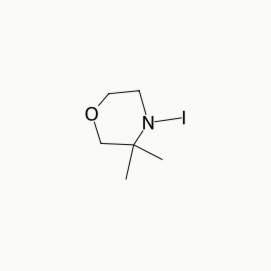 CC1(C)COCCN1I